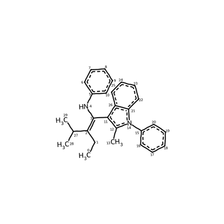 CC/C(=C(/Nc1ccccc1)c1c(C)n(-c2ccccc2)c2ccccc12)C(C)C